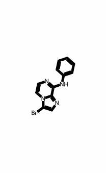 Brc1cnc2c(Nc3ccccc3)nccn12